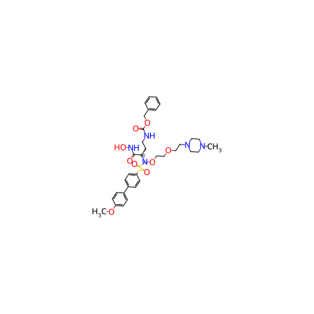 COc1ccc(-c2ccc(S(=O)(=O)N(OCCOCCN3CCN(C)CC3)[C@H](CCNC(=O)OCc3ccccc3)C(=O)NO)cc2)cc1